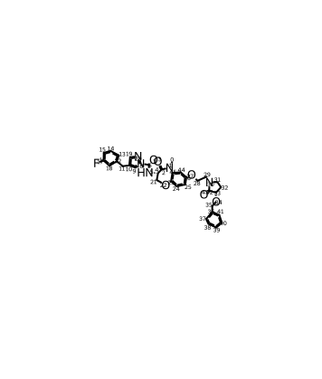 CN1C(=O)[C@@H](NC(=O)n2cc(Cc3cccc(F)c3)cn2)COc2ccc(OCCN3CC[C@H](OCc4ccccc4)C3=O)cc21